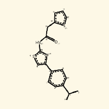 CC(C)c1ccc(-c2csc(NC(=O)Cc3cccs3)n2)cc1